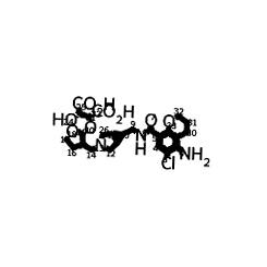 Nc1c(Cl)cc(C(=O)NCC2C3CN(CC4CCOC4OC(C(=O)O)C(O)C(=O)O)CC23)c2c1CCCO2